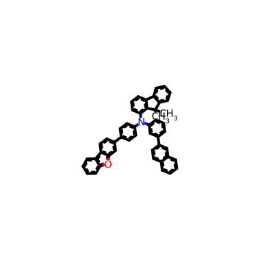 CC1(C)c2ccccc2-c2cccc(N(c3ccc(-c4ccc5c(c4)oc4ccccc45)cc3)c3cccc(-c4ccc5ccccc5c4)c3)c21